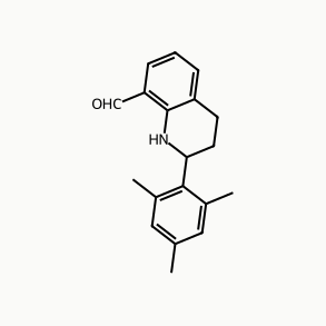 Cc1cc(C)c(C2CCc3cccc(C=O)c3N2)c(C)c1